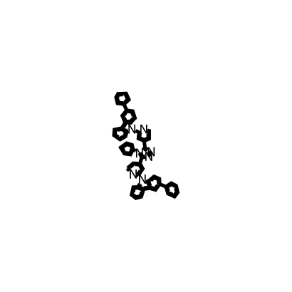 c1ccc(-c2ccc3c(c2)c2ccccc2n3-c2cc(-c3nnc(-c4ccnc(-n5c6ccccc6c6cc(-c7ccccc7)ccc65)c4)n3-c3ccccc3)ccn2)cc1